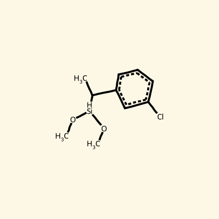 CO[SiH](OC)C(C)c1cccc(Cl)c1